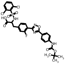 CC(C)(C)OC(=O)Nc1ccc(-c2nc(-c3ccc(CC(NS(=O)(=O)c4c(Cl)cccc4Cl)C(=O)O)cc3F)no2)cc1